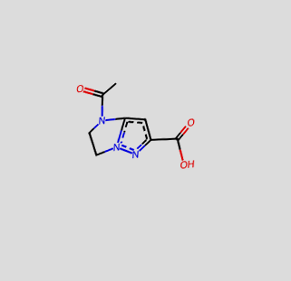 CC(=O)N1CCn2nc(C(=O)O)cc21